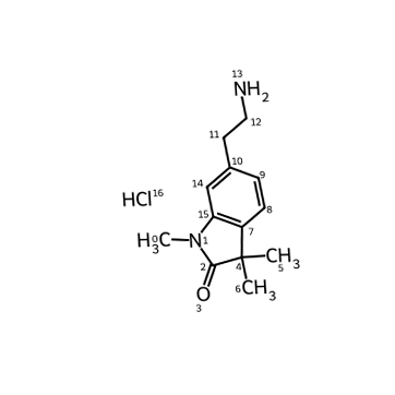 CN1C(=O)C(C)(C)c2ccc(CCN)cc21.Cl